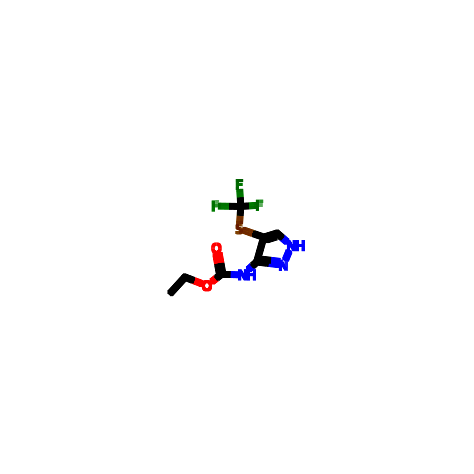 CCOC(=O)Nc1n[nH]cc1SC(F)(F)F